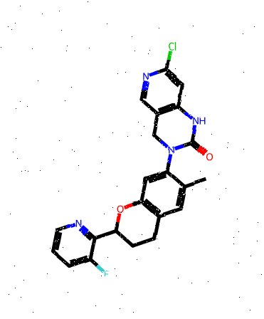 Cc1cc2c(cc1N1Cc3cnc(Cl)cc3NC1=O)OC(c1ncccc1F)CC2